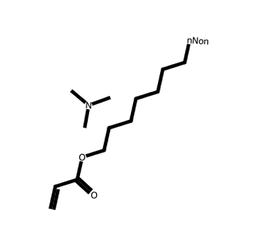 C=CC(=O)OCCCCCCCCCCCCCCCC.CN(C)C